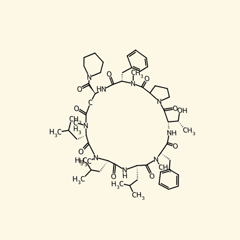 CC(C)C[C@@H]1NC(=O)[C@H](CC(C)C)N(C)C(=O)[C@H](CC(C)C)N(C)C(=O)C[C@@H](C(=O)N2CCCCC2)NC(=O)[C@H](Cc2ccccc2)N(C)C(=O)C2CCCN2C(=O)[C@H]([C@@H](C)O)NC(=O)[C@H](Cc2ccccc2)N(C)C1=O